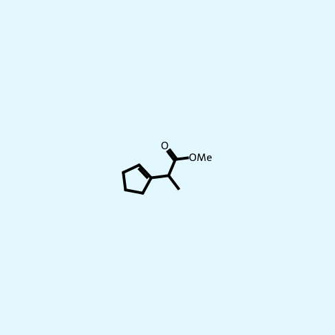 COC(=O)C(C)C1=CCCC1